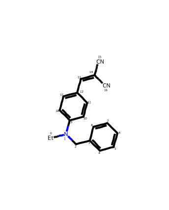 CCN(Cc1ccccc1)c1ccc(C=C(C#N)C#N)cc1